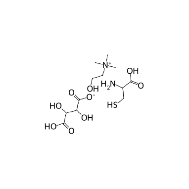 C[N+](C)(C)CCO.NC(CS)C(=O)O.O=C([O-])C(O)C(O)C(=O)O